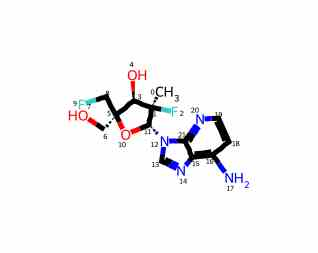 C[C@@]1(F)[C@H](O)[C@](CO)(CF)O[C@H]1n1cnc2c(N)ccnc21